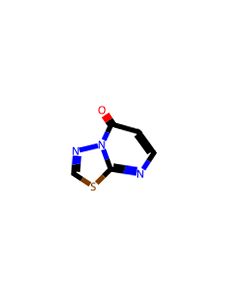 O=c1[c]cnc2scnn12